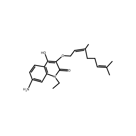 CCn1c(=O)c(OCC=C(C)CCC=C(C)C)c(O)c2ccc(N)cc21